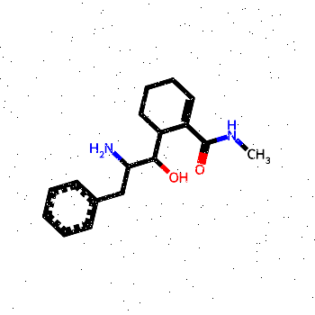 CNC(=O)C1=CCCCC1C(O)C(N)Cc1ccccc1